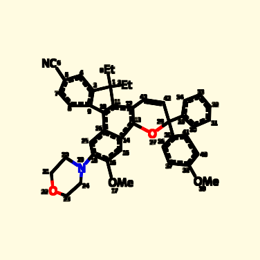 CCC1(CC)c2cc(C#N)ccc2-c2c1c1c(c3cc(OC)c(N4CCOCC4)cc23)OC(c2ccccc2)(c2ccc(OC)cc2)C=C1